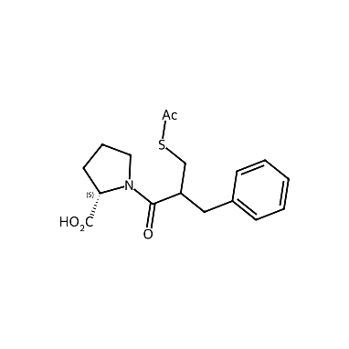 CC(=O)SCC(Cc1ccccc1)C(=O)N1CCC[C@H]1C(=O)O